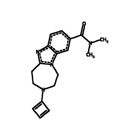 CN(C)C(=O)c1ccc2nc3n(c2c1)CCN(C1=CC=C1)CC3